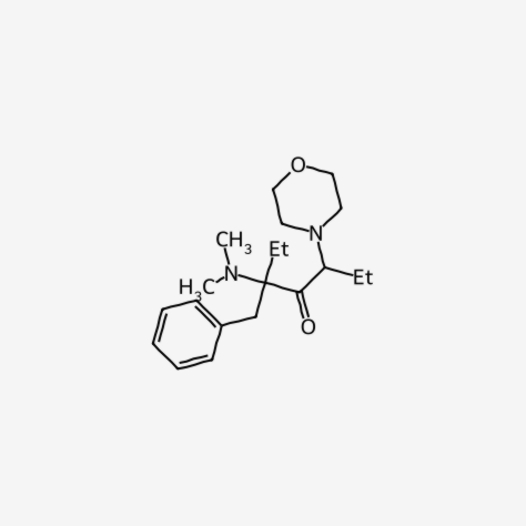 CCC(C(=O)C(CC)(Cc1ccccc1)N(C)C)N1CCOCC1